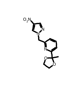 CC1(c2cccc(Cn3cc([N+](=O)[O-])cn3)n2)OCCO1